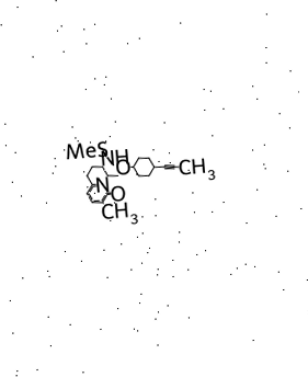 CC#CC1CCC(OCC2C(NSC)CCc3ccc(C)c(=O)n32)CC1